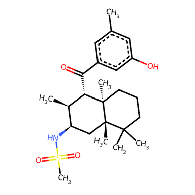 Cc1cc(O)cc(C(=O)[C@H]2[C@H](C)[C@H](NS(C)(=O)=O)C[C@@]3(C)C(C)(C)CCC[C@]23C)c1